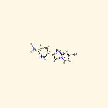 CN(C)c1ccc(-c2cn3ccc(I)cc3n2)cn1